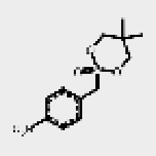 CC1(C)COP(=O)(Cc2ccc([N+](=O)[O-])cc2)OC1